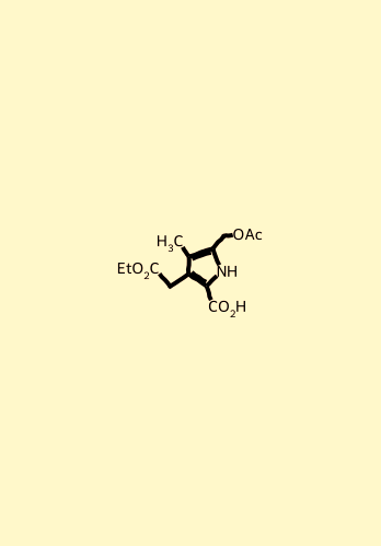 CCOC(=O)Cc1c(C(=O)O)[nH]c(COC(C)=O)c1C